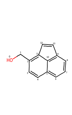 OCc1ccc2cccc3c2c1C=C3